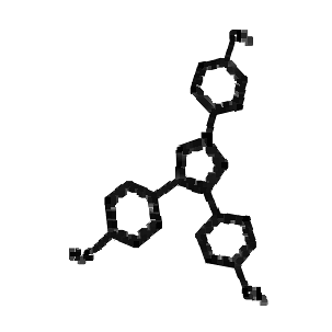 Cc1ccc(-c2cn(-c3ccc(C)cc3)cc2-c2ccc(C)cc2)cc1